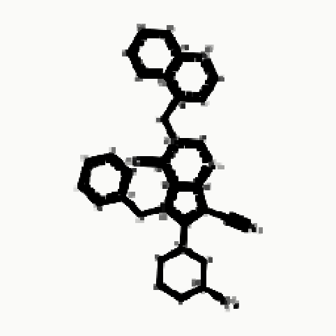 N#Cc1c(N2CCC[C@H](N)C2)n(Cc2ccccc2)c2c(=O)n(Cc3ccnc4ccccc34)cnc12